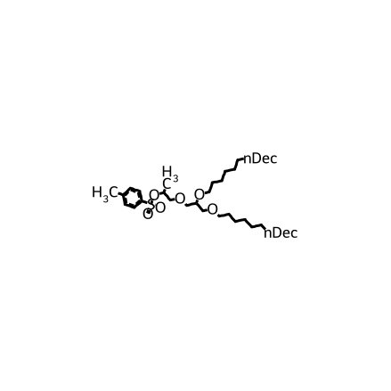 CCCCCCCCCCCCCCCCOCC(COCC(C)OS(=O)(=O)c1ccc(C)cc1)OCCCCCCCCCCCCCCCC